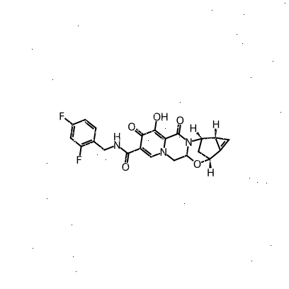 O=C(NCc1ccc(F)cc1F)c1cn2c(c(O)c1=O)C(=O)N1C(C2)O[C@@H]2C[C@H]1[C@@H]1C=C12